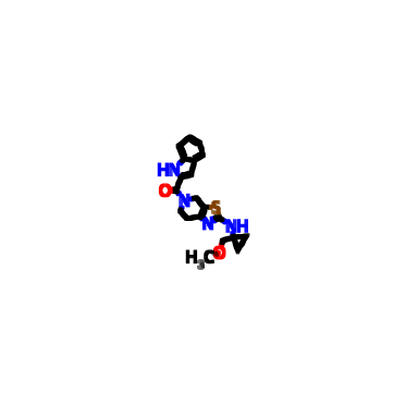 COCC1(Nc2nc3c(s2)CN(C(=O)c2cc4ccccc4[nH]2)CC3)CC1